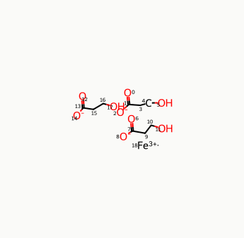 O=C([O-])CCO.O=C([O-])CCO.O=C([O-])CCO.[Fe+3]